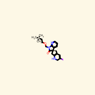 C[Si](C)(C)CCOCN1C(=O)[C@]2(CC3=C(C2)NCC(I)=C3)c2cccnc21